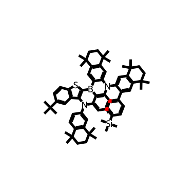 Cc1cc2c3c(c1)N(c1ccc4c(c1)C(C)(C)CCC4(C)C)c1c(sc4ccc(C(C)(C)C)cc14)B3c1cc3c(cc1N2c1cc2c(cc1-c1ccc([Si](C)(C)C)cc1)C(C)(C)CCC2(C)C)C(C)(C)CCC3(C)C